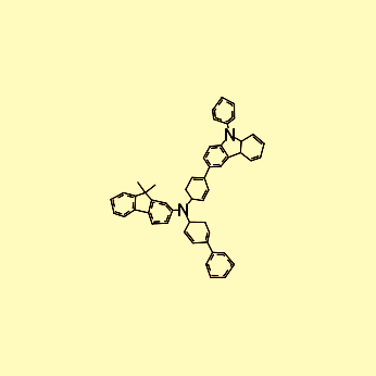 CC1(C)c2ccccc2-c2ccc(N(C3C=CC(c4ccccc4)=CC3)C3C=CC(c4ccc5c(c4)C4C=CC=CC4N5c4ccccc4)=CC3)cc21